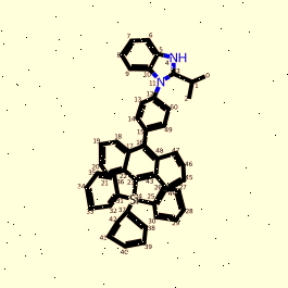 CC(C)C1Nc2ccccc2N1c1ccc(-c2c3ccccc3c([Si](c3ccccc3)(c3ccccc3)c3ccccc3)c3ccccc23)cc1